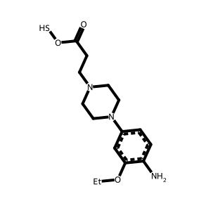 CCOc1cc(N2CCN(CCC(=O)OS)CC2)ccc1N